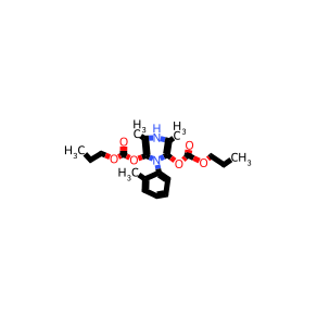 CCCOC(=O)OC1=C(C)NC(C)=C(OC(=O)OCCC)N1c1ccccc1C